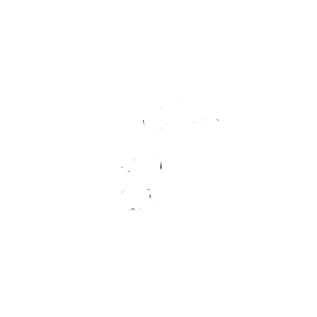 COc1c(F)ccc2ccc(Oc3ccc(OC(C)C(=O)O)cc3)nc12